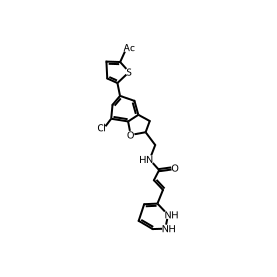 CC(=O)c1ccc(-c2cc(Cl)c3c(c2)CC(CNC(=O)/C=C/C2=CC=CNN2)O3)s1